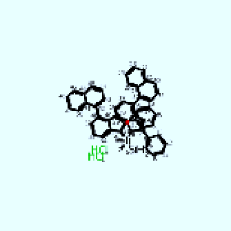 Cl.Cl.[CH3][Ti]([CH3])(=[SiH2])([CH]1C(c2ccccc2)=Cc2c(-c3cccc4ccccc34)cccc21)[CH]1C(c2ccccc2)=Cc2c(-c3cccc4ccccc34)cccc21